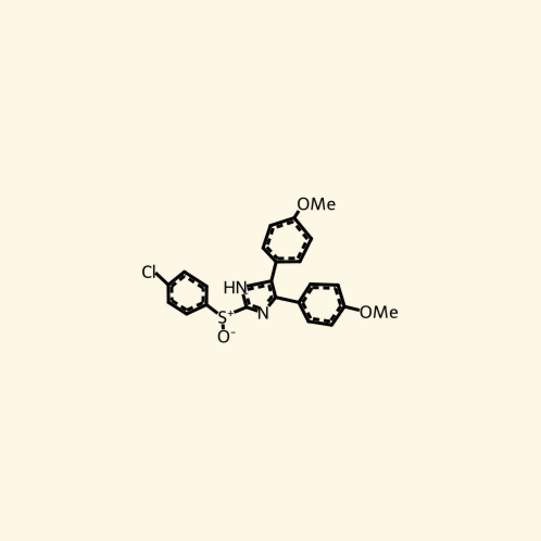 COc1ccc(-c2nc([S+]([O-])c3ccc(Cl)cc3)[nH]c2-c2ccc(OC)cc2)cc1